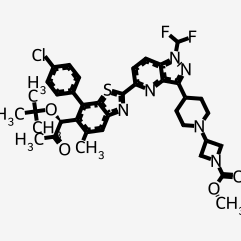 COC(=O)N1CC(N2CCC(c3nn(C(F)F)c4ccc(-c5nc6cc(C)c([C@H](OC(C)(C)C)C(C)=O)c(-c7ccc(Cl)cc7)c6s5)nc34)CC2)C1